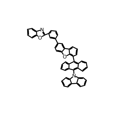 c1cc(-c2ccc3oc4c(-c5c6ccccc6c(-n6c7ccccc7c7ccccc76)c6ccccc56)cccc4c3c2)cc(-c2nc3ccccc3o2)c1